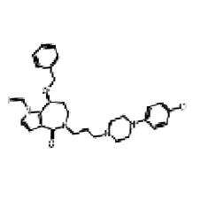 O=C1c2ccn(CI)c2C(OCc2ccccc2)CCN1CCCN1CCN(c2ccc(Cl)cc2)CC1